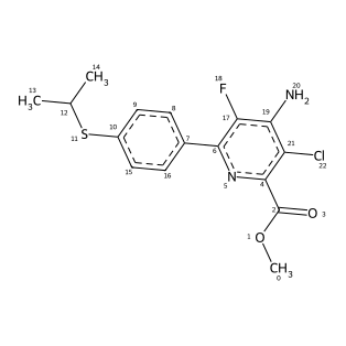 COC(=O)c1nc(-c2ccc(SC(C)C)cc2)c(F)c(N)c1Cl